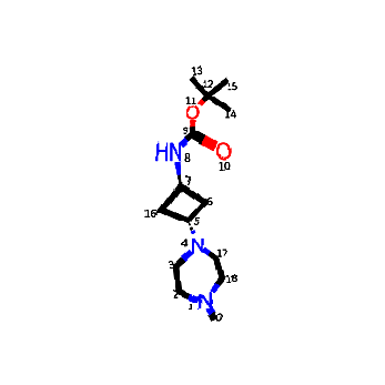 CN1CCN([C@H]2C[C@H](NC(=O)OC(C)(C)C)C2)CC1